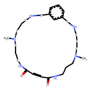 CN1CCCNCc2cccc(c2)CNCCCN(C)CCCNC(=O)/C=C\C(=O)NCCC1